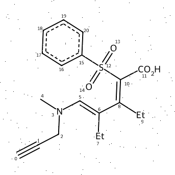 C#CCN(C)C=C(CC)C(CC)=C(C(=O)O)S(=O)(=O)c1ccccc1